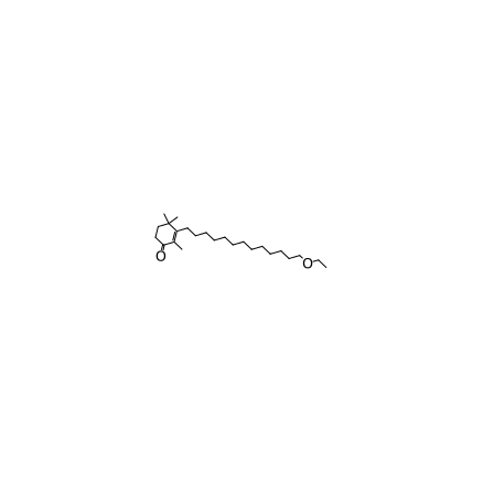 CCOCCCCCCCCCCCCCC1=C(C)C(=O)CCC1(C)C